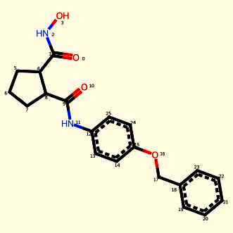 O=C(NO)C1CCCC1C(=O)Nc1ccc(OCc2ccccc2)cc1